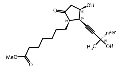 CCCCC[C@@](C)(O)C#C[C@@H]1[C@H](O)CC(=O)[C@@H]1CCCCCCC(=O)OC